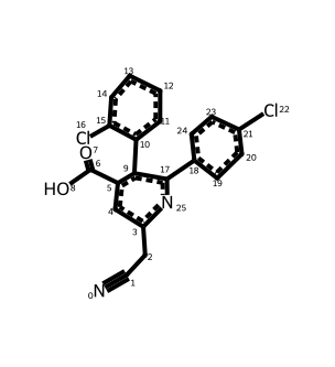 N#CCc1cc(C(=O)O)c(-c2ccccc2Cl)c(-c2ccc(Cl)cc2)n1